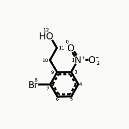 O=[N+]([O-])c1cccc(Br)c1CCO